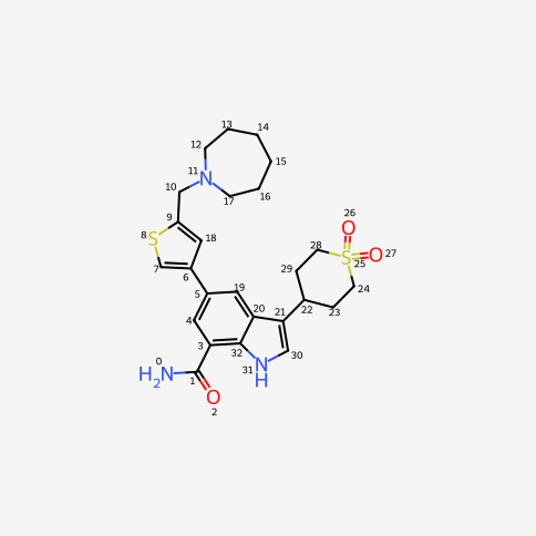 NC(=O)c1cc(-c2csc(CN3CCCCCC3)c2)cc2c(C3CCS(=O)(=O)CC3)c[nH]c12